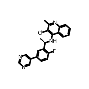 Cc1nc2ccccc2c(N[C@H](C)c2cc(-c3cncnc3)ccc2F)c1Cl